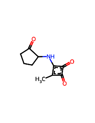 Cc1c(NC2CCCC2=O)c(=O)c1=O